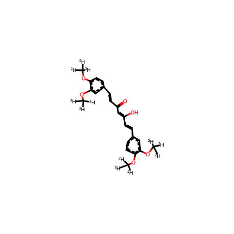 [2H]C([2H])([2H])Oc1ccc(C=CC(=O)C=C(O)C=Cc2ccc(OC([2H])([2H])[2H])c(OC([2H])([2H])[2H])c2)cc1OC([2H])([2H])[2H]